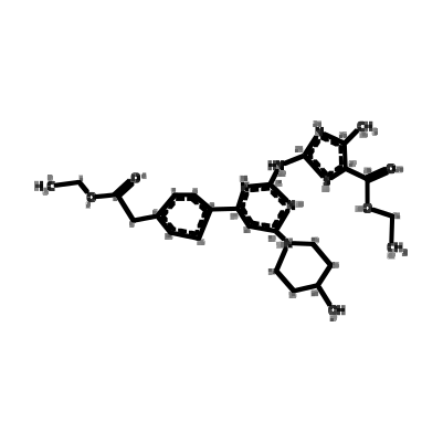 CCOC(=O)Cc1ccc(-c2cc(N3CCC(O)CC3)nc(Nc3nc(C)c(C(=O)OCC)s3)n2)cc1